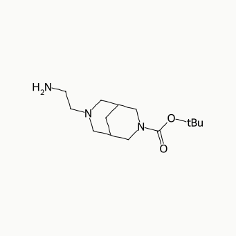 CC(C)(C)OC(=O)N1CC2CC(CN(CCN)C2)C1